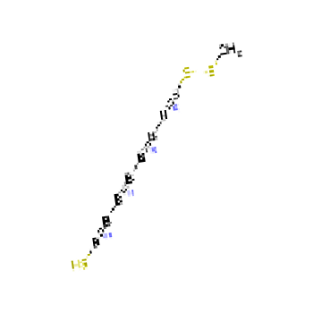 CSS/B=B/B=B/B=B/B=B/S